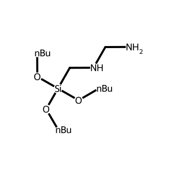 CCCCO[Si](CNCN)(OCCCC)OCCCC